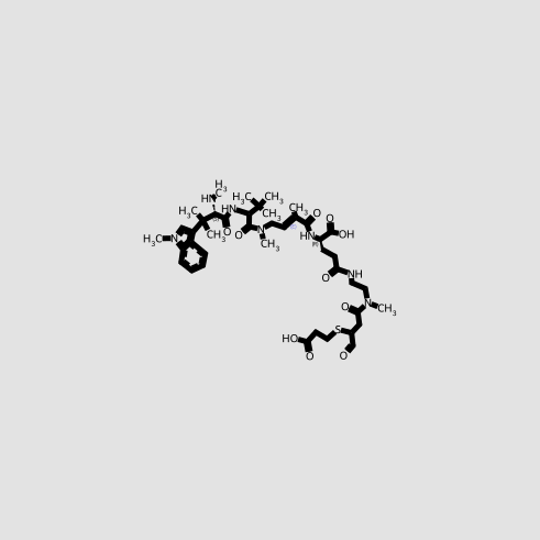 CN[C@H](C(=O)NC(C(=O)N(C)C/C=C(\C)C(=O)N[C@H](CCC(=O)NCCN(C)C(=O)CC(C=O)SCCC(=O)O)C(=O)O)C(C)(C)C)C(C)(C)c1cn(C)c2ccccc12